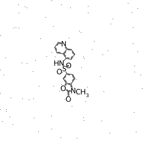 Cn1c(=O)oc2cc(S(=O)(=O)Nc3cccc4ncccc34)ccc21